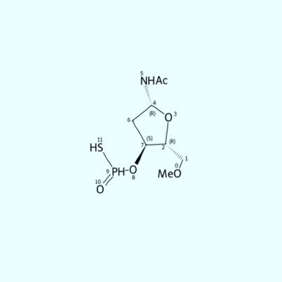 COC[C@H]1O[C@@H](NC(C)=O)C[C@@H]1O[PH](=O)S